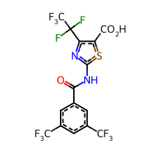 O=C(Nc1nc(C(F)(F)C(F)(F)F)c(C(=O)O)s1)c1cc(C(F)(F)F)cc(C(F)(F)F)c1